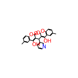 Cc1ccc2oc(=O)c(C(c3cccnc3)c3c(O)c4cc(C)ccc4oc3=O)c(O)c2c1